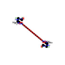 COc1cc(Nc2cc(NCc3cccc(S(=O)(=O)F)c3)ccc2Cl)cc2cc(OCC(=O)NCCOCCOCCOCCOCCOCCOCCOCCOCCOCCOCCOCCOCCNC(=O)COc3cc4cc(Nc5cc(NCc6cccc(S(=O)(=O)F)c6)ccc5Cl)cc(OC)c4n(C)c3=O)c(=O)n(C)c12